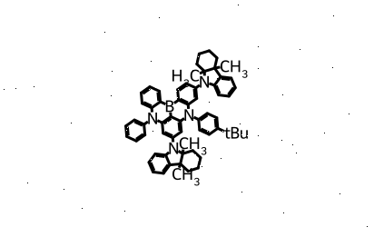 CC(C)(C)c1ccc(N2c3cc(N4c5ccccc5C5(C)CCCCC45C)ccc3B3c4ccccc4N(c4ccccc4)c4cc(N5c6ccccc6C6(C)CCCCC56C)cc2c43)cc1